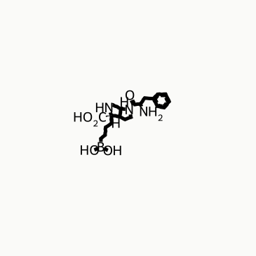 NC(Cc1ccccc1)C(=O)N1CC[C@H]2[C@@H]1CN[C@@]2(CCCCB(O)O)C(=O)O